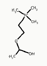 [CH2]C(O)OCC[N+](C)(C)C